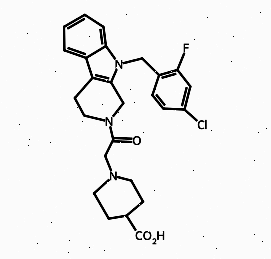 O=C(O)C1CCN(CC(=O)N2CCc3c(n(Cc4ccc(Cl)cc4F)c4ccccc34)C2)CC1